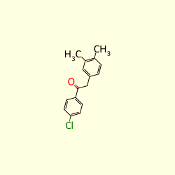 Cc1ccc(CC(=O)c2ccc(Cl)cc2)cc1C